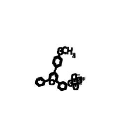 COc1ccc(-c2cc(-c3ccccc3)[o+]c(-c3ccccc3)c2)cc1.[O-][Cl+3]([O-])([O-])[O-]